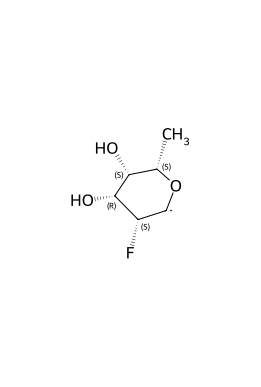 C[C@@H]1O[CH][C@H](F)[C@H](O)[C@@H]1O